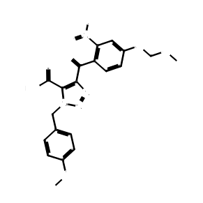 COCOc1ccc(C(=O)c2nnn(Cc3ccc(OC)cc3)c2C(=O)O)c([N+](=O)[O-])c1